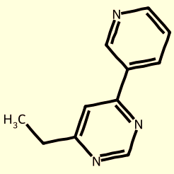 CCc1cc(-c2cccnc2)ncn1